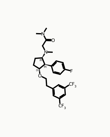 CN(C)C(=O)CN(C)[C@@H]1CC[C@H](OCCc2cc(C(F)(F)F)cc(C(F)(F)F)c2)[C@@H]1c1ccc(F)cc1